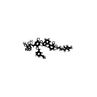 CC(CO)(NCc1cc(Cl)c(O[C@H]2CCc3c(-c4cccc(OCCCN5CC6(CC(F)C6)C5)c4Cl)cccc32)cc1OCc1cncc(C#N)c1)C(=O)O